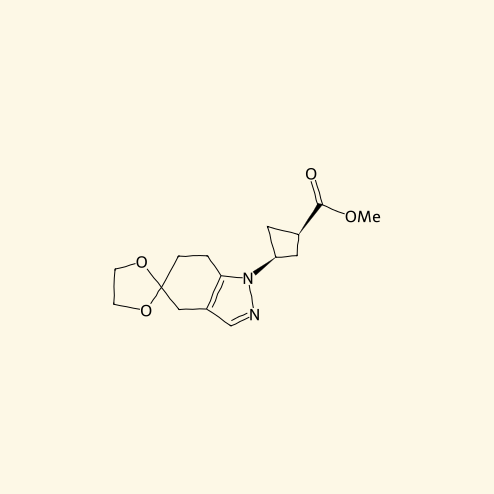 COC(=O)[C@H]1C[C@@H](n2ncc3c2CCC2(C3)OCCO2)C1